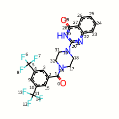 O=C(c1cc(C(F)(F)F)cc(C(F)(F)F)c1)N1CCN(c2nc3ccccc3c(=O)[nH]2)CC1